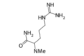 CNC(CCCNC(=N)N)C(N)=O